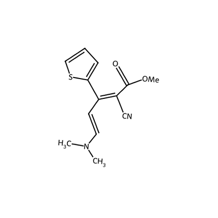 COC(=O)C(C#N)=C(C=CN(C)C)c1cccs1